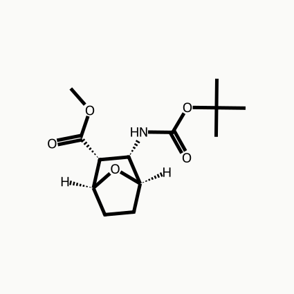 COC(=O)[C@@H]1[C@H](NC(=O)OC(C)(C)C)[C@H]2CC[C@@H]1O2